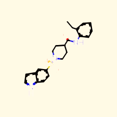 CCc1ccccc1NC(=O)C1CCN(S(=O)(=O)c2ccc3[nH]ccc3c2)CC1